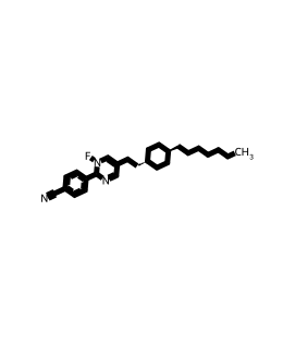 CCCCCCC[C@H]1CC[C@H](CCC2=CN(F)C(c3ccc(C#N)cc3)N=C2)CC1